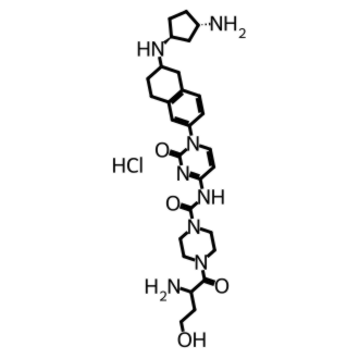 Cl.NC(CCO)C(=O)N1CCN(C(=O)Nc2ccn(-c3ccc4c(c3)CCC(N[C@H]3CC[C@H](N)C3)C4)c(=O)n2)CC1